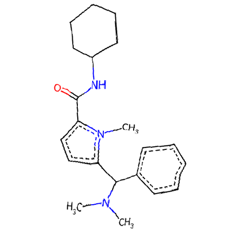 CN(C)C(c1ccccc1)c1ccc(C(=O)NC2CCCCC2)n1C